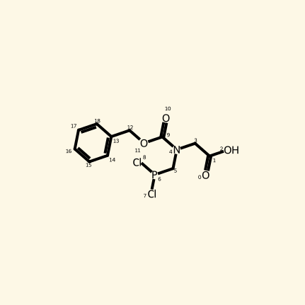 O=C(O)CN(CP(Cl)Cl)C(=O)OCc1ccccc1